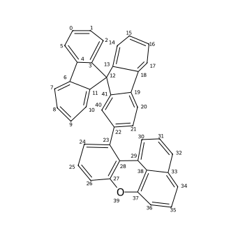 c1ccc2c(c1)-c1ccccc1C21c2ccccc2-c2ccc(-c3cccc4c3-c3cccc5cccc(c35)O4)cc21